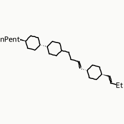 CC/C=C/[C@H]1CC[C@H](/C=C/CCC2CCC([C@H]3CC[C@H](CCCCC)CC3)CC2)CC1